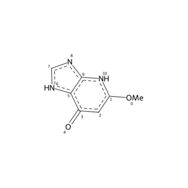 COc1cc(=O)c2[nH]cnc2[nH]1